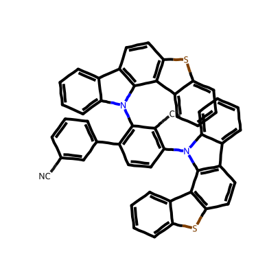 N#Cc1cccc(-c2ccc(-n3c4ccccc4c4ccc5sc6ccccc6c5c43)c(C#N)c2-n2c3ccccc3c3ccc4sc5ccccc5c4c32)c1